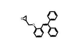 C(=C(c1ccccc1)c1ccccc1)c1ccccc1OCC1CO1